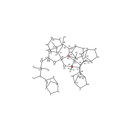 CC(C1=C2CCC(C2)C1)[Si](C)(C)O[SiH](O[Si](C)(C)C(C)C1=C2CCC(C2)C1)O[Si](O[Si](C)(C)C(C)C1=C2CCC(C2)C1)(O[Si](C)(C)C(C)C1=C2CCC(C2)C1)C1CCCCC1